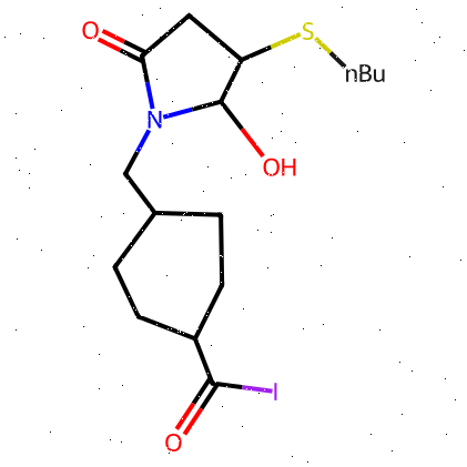 CCCCSC1CC(=O)N(CC2CCC(C(=O)I)CC2)C1O